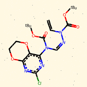 C=CN(/N=C\N(C(=O)OC(C)(C)C)c1nc(Cl)nc2c1OCCO2)C(=O)OC(C)(C)C